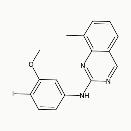 COc1cc(Nc2ncc3cccc(C)c3n2)ccc1I